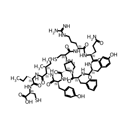 CCC[C@H](NC(=O)[C@@H](NC(=O)[C@H](Cc1ccc(O)cc1)NC(=O)[C@@H]1CCCN1C(=O)[C@H](Cc1ccccc1)NC(=O)[C@H](Cc1ccc(O)cc1)NC(=O)[C@H](CCC(N)=O)NC(=O)[C@H](CCCNC(=N)N)NC(=O)[C@@H](N)CS)[C@@H](C)CC)C(=O)N[C@@H](CS)C(=O)O